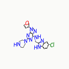 Clc1ccc2[nH]c(CNc3nc(N4CCCNCC4)nc4c3ncn4-c3ccoc3)nc2c1